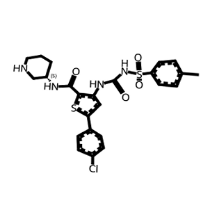 Cc1ccc(S(=O)(=O)NC(=O)Nc2cc(-c3ccc(Cl)cc3)sc2C(=O)N[C@H]2CCCNC2)cc1